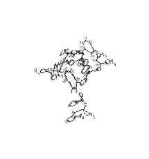 CCC(C)OC(=O)Oc1ccc(C[C@](NC(C)C)(OC(=O)OC2CCCCC2)C(=O)O)cc1OC(=O)OC(C)CC